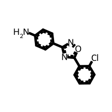 Nc1ccc(-c2noc(-c3ccccc3Cl)n2)cc1